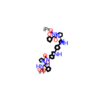 CC(C)OC(=O)N[C@@H](C(=O)N1CCC[C@H]1C(=O)Nc1ccc2[nH]c(-c3ccc(-c4cc([C@@H]5CCCCN5C(=O)[C@H](NC(=O)OC(C)C)c5ccccc5)n[nH]4)cc3)cc2c1)c1ccccc1